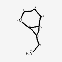 NCC1C2CCCOC12